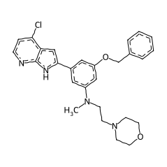 CN(CCN1CCOCC1)c1cc(OCc2ccccc2)cc(-c2cc3c(Cl)ccnc3[nH]2)c1